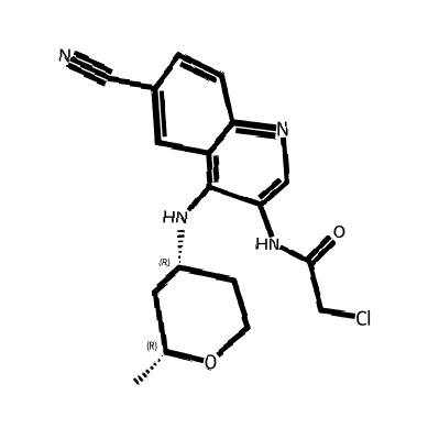 C[C@@H]1C[C@H](Nc2c(NC(=O)CCl)cnc3ccc(C#N)cc23)CCO1